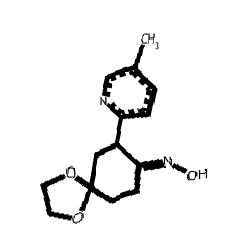 Cc1ccc(C2CC3(CCC2=NO)OCCO3)nc1